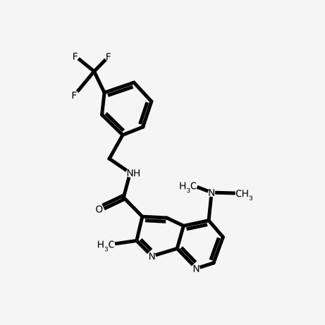 Cc1nc2nccc(N(C)C)c2cc1C(=O)NCc1cccc(C(F)(F)F)c1